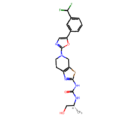 C[C@H](CO)NC(=O)Nc1nc2c(s1)CN(c1ncc(-c3cccc(C(F)F)c3)o1)CC2